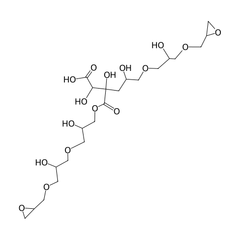 O=C(O)C(O)C(O)(CC(O)COCC(O)COCC1CO1)C(=O)OCC(O)COCC(O)COCC1CO1